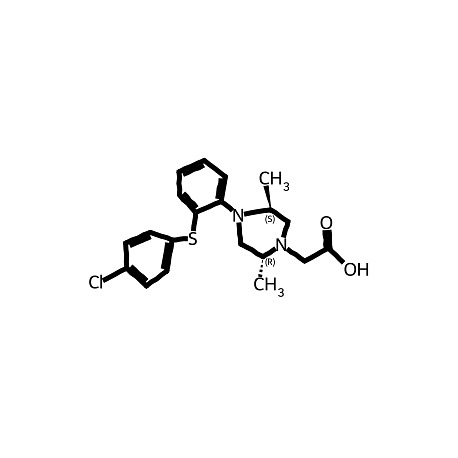 C[C@@H]1CN(c2ccccc2Sc2ccc(Cl)cc2)[C@@H](C)CN1CC(=O)O